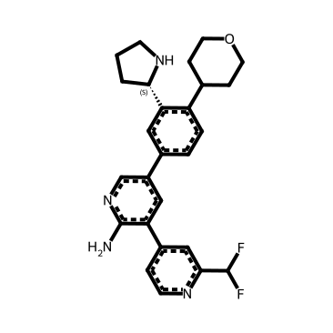 Nc1ncc(-c2ccc(C3CCOCC3)c([C@@H]3CCCN3)c2)cc1-c1ccnc(C(F)F)c1